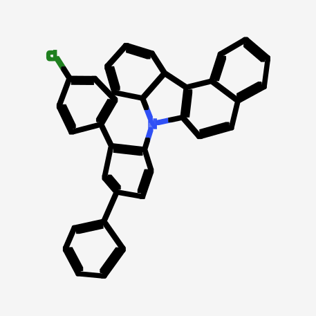 Clc1ccc(-c2cc(-c3ccccc3)ccc2N2c3ccc4ccccc4c3C3C=CC=CC32)cc1